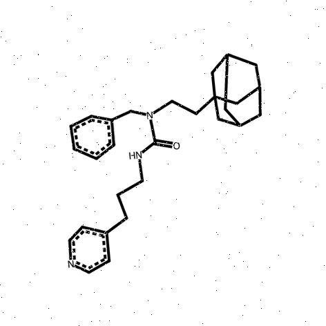 O=C(NCCCc1ccncc1)N(CCC12CC3CC(CC(C3)C1)C2)Cc1ccccc1